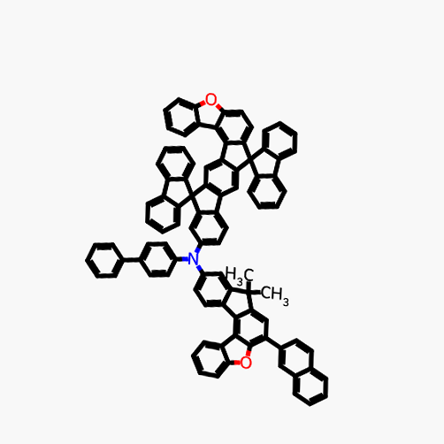 CC1(C)c2cc(N(c3ccc(-c4ccccc4)cc3)c3ccc4c(c3)C3(c5ccccc5-c5ccccc53)c3cc5c(cc3-4)C3(c4ccccc4-c4ccccc43)c3ccc4oc6ccccc6c4c3-5)ccc2-c2c1cc(-c1ccc3ccccc3c1)c1oc3ccccc3c21